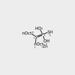 CCCCCCCCS(CCCCCCCC)=P(O)(O)S.[Zn]